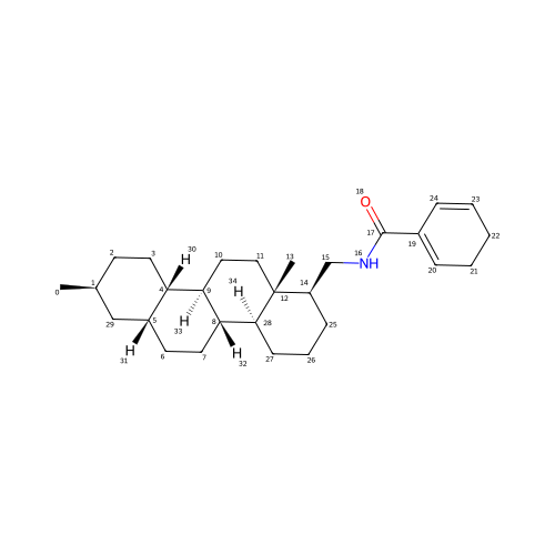 C[C@H]1CC[C@H]2[C@H](CC[C@@H]3[C@@H]2CC[C@]2(C)[C@@H](CNC(=O)C4=CCCC=C4)CCC[C@@H]32)C1